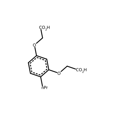 CCCc1ccc(OCC(=O)O)cc1OCC(=O)O